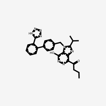 CCCC(=O)c1nnc(O)c2c1nc(C(C)C)n2Cc1ccc(-c2ccccc2-c2nnn[nH]2)cc1